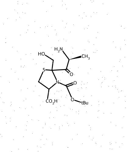 C[C@H](N)C(=O)C1(CO)SCC(C(=O)O)N1C(=O)OC(C)(C)C